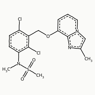 Cc1cn2cccc(OCc3c(Cl)ccc(N(C)S(C)(=O)=O)c3Cl)c2n1